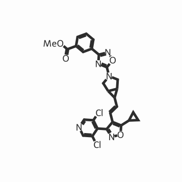 COC(=O)c1cccc(-c2noc(N3CC4C(C=Cc5c(-c6c(Cl)cncc6Cl)noc5C5CC5)C4C3)n2)c1